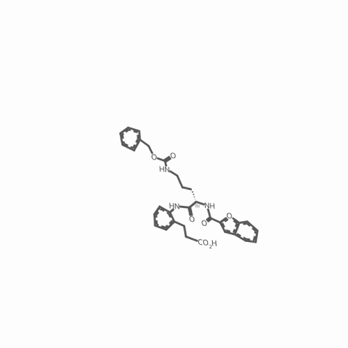 O=C(O)CCc1ccccc1NC(=O)[C@H](CCCNC(=O)OCc1ccccc1)NC(=O)c1cc2ccccc2o1